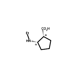 CCN[C@H]1CCC[C@H]1C(=O)O